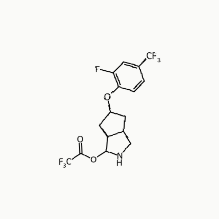 O=C(OC1NCC2CC(Oc3ccc(C(F)(F)F)cc3F)CC21)C(F)(F)F